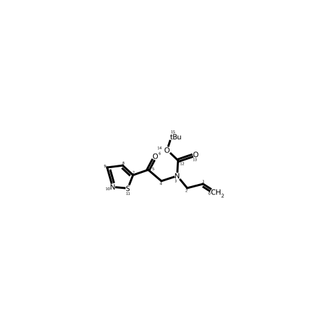 C=CCN(CC(=O)c1ccns1)C(=O)OC(C)(C)C